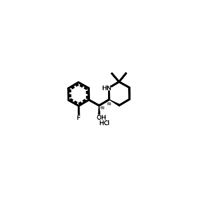 CC1(C)CCC[C@@H]([C@@H](O)c2ccccc2F)N1.Cl